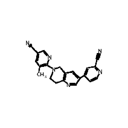 Cc1cc(C#N)cnc1N1CCc2ncc(-c3ccnc(C#N)c3)cc2C1